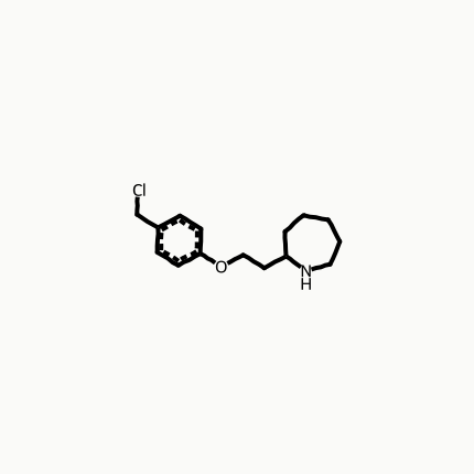 ClCc1ccc(OCCC2CCCCCN2)cc1